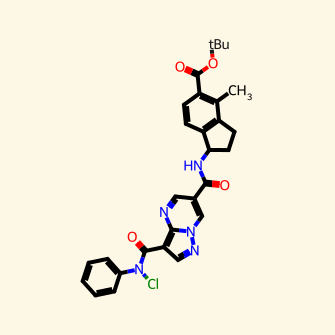 Cc1c(C(=O)OC(C)(C)C)ccc2c1CCC2NC(=O)c1cnc2c(C(=O)N(Cl)c3ccccc3)cnn2c1